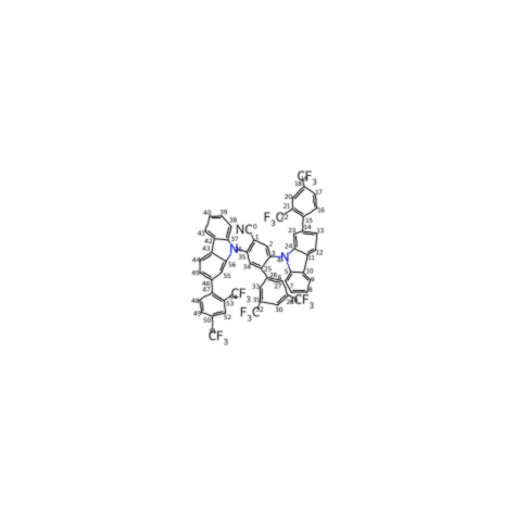 N#Cc1cc(-n2c3ccccc3c3ccc(-c4ccc(C(F)(F)F)cc4C(F)(F)F)cc32)c(-c2cc(C(F)(F)F)cc(C(F)(F)F)c2)cc1-n1c2ccccc2c2ccc(-c3ccc(C(F)(F)F)cc3C(F)(F)F)cc21